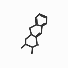 CC1[C]C2=Cc3ccccc3CC2CC1C